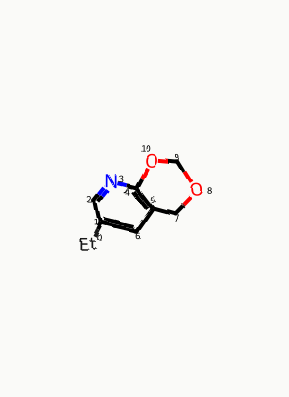 CCc1cnc2c(c1)COCO2